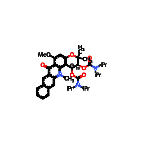 COc1cc2c(c3c1c(=O)c1cc4ccccc4cc1n3C)[C@H](OC(=O)N(C(C)C)C(C)C)[C@H](OC(=O)N(C(C)C)C(C)C)C(C)(C)O2